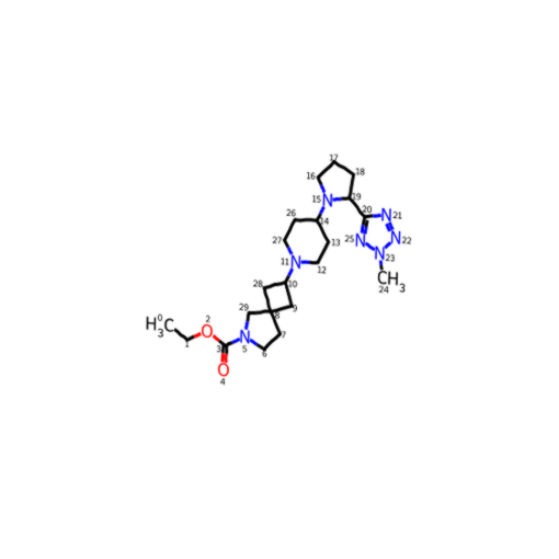 CCOC(=O)N1CCC2(CC(N3CCC(N4CCCC4c4nnn(C)n4)CC3)C2)C1